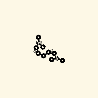 c1ccc(-c2nc(-c3ccccc3)n(-c3ccc4oc5ccc(-c6cccc(-c7ccc8oc9ccc(-n%10nc(-c%11ccccc%11)nc%10-c%10ccccc%10)cc9c8c7)c6)cc5c4c3)n2)cc1